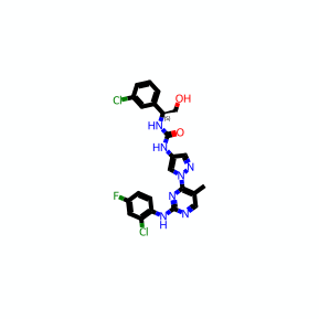 Cc1cnc(Nc2ccc(F)cc2Cl)nc1-n1cc(NC(=O)N[C@H](CO)c2cccc(Cl)c2)cn1